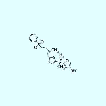 CC(C)c1coc(C(C)(C)c2ccc(C[C@H](C)CCS(=O)(=O)c3ccccc3)s2)c1